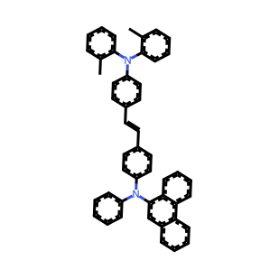 Cc1ccccc1N(c1ccc(/C=C/c2ccc(N(c3ccccc3)c3cc4ccccc4c4ccccc34)cc2)cc1)c1ccccc1C